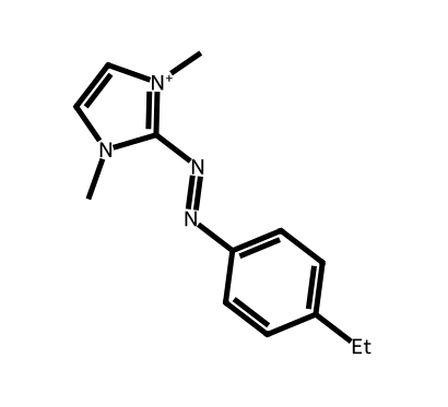 CCc1ccc(N=Nc2n(C)cc[n+]2C)cc1